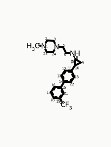 CN1CCN(CCN[C@H]2CC2c2ccc(-c3cccc(C(F)(F)F)c3)cc2)CC1